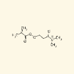 C=C(C)C(=O)OOCCC(Cl)[SiH](C)C